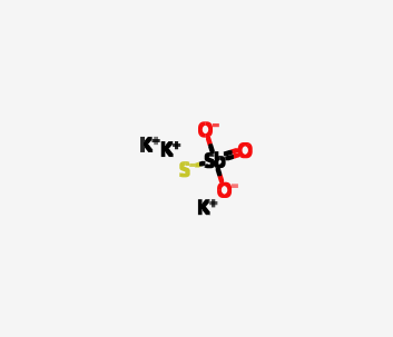 [K+].[K+].[K+].[O]=[Sb]([O-])([O-])[S-]